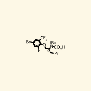 CC(C)C[C@@H](COc1c(F)cc(Br)cc1C(F)(F)F)N(C(=O)O)C(C)(C)C